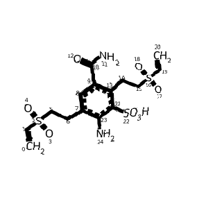 C=CS(=O)(=O)CCc1cc(C(N)=O)c(CCS(=O)(=O)C=C)c(S(=O)(=O)O)c1N